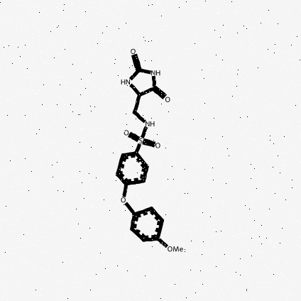 COc1ccc(Oc2ccc(S(=O)(=O)NCC3NC(=O)NC3=O)cc2)cc1